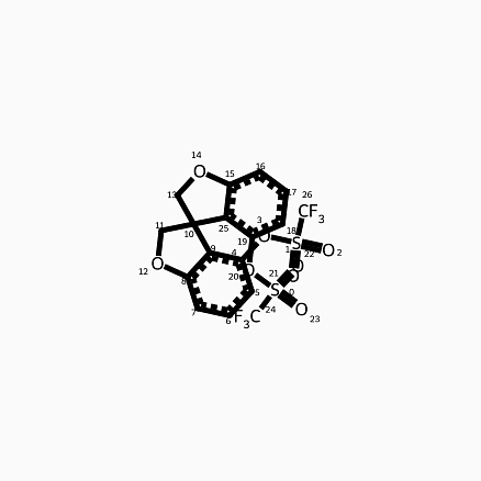 O=S(=O)(Oc1cccc2c1C1(CO2)COc2cccc(OS(=O)(=O)C(F)(F)F)c21)C(F)(F)F